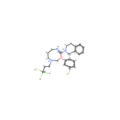 Fc1ccc([C@H]2c3ccccc3CCN2/C2=N/CCCN(CCC(F)(F)F)CO2)cc1